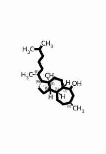 CC(C)CCC[C@@H](C)[C@H]1CC[C@H]2[C@@H]3CC[C@H](C)CC(O)[C@H]3CC[C@]12C